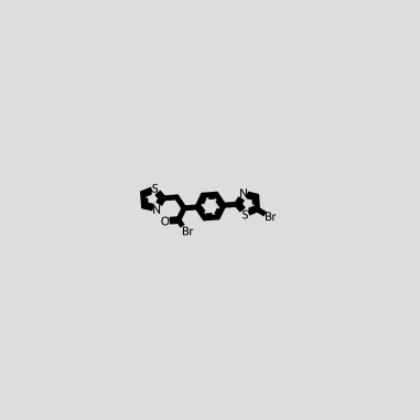 O=C(Br)C(Cc1nccs1)c1ccc(-c2ncc(Br)s2)cc1